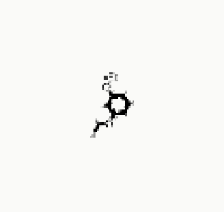 CCOc1cccc(OCI)c1